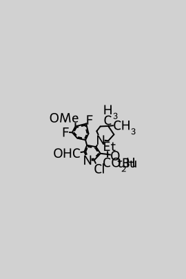 CCC(OC(C)(C)C)(C(=O)O)c1c(Cl)nc(C=O)c(-c2cc(F)c(OC)c(F)c2)c1N1CCC(C)(C)CC1